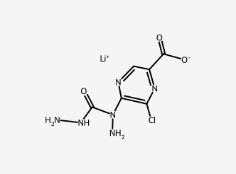 NNC(=O)N(N)c1ncc(C(=O)[O-])nc1Cl.[Li+]